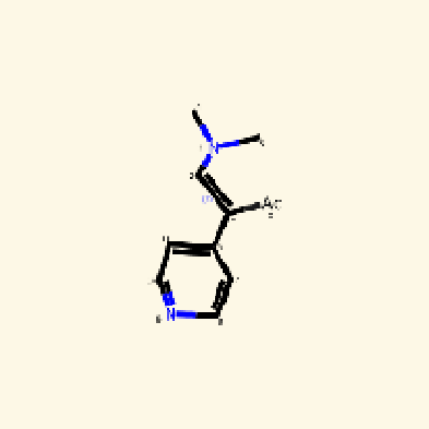 CC(=O)/C(=C\N(C)C)c1ccncc1